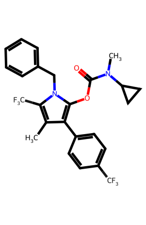 Cc1c(-c2ccc(C(F)(F)F)cc2)c(OC(=O)N(C)C2CC2)n(Cc2ccccc2)c1C(F)(F)F